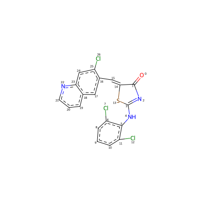 O=C1N=C(Nc2c(Cl)cccc2Cl)S/C1=C\c1cc2cccnc2cc1Cl